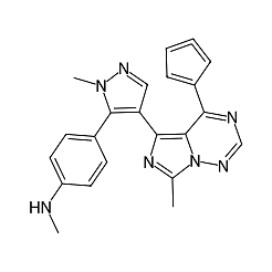 CNc1ccc(-c2c(-c3nc(C)n4ncnc(C5=CC=C=C5)c34)cnn2C)cc1